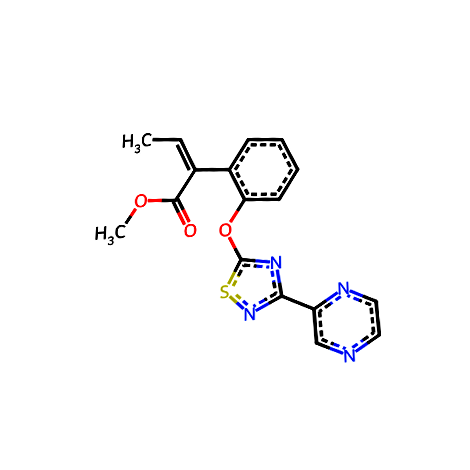 CC=C(C(=O)OC)c1ccccc1Oc1nc(-c2cnccn2)ns1